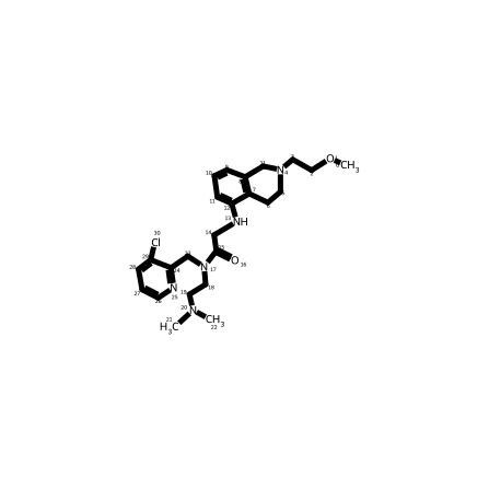 COCCN1CCc2c(cccc2NCC(=O)N(CCN(C)C)Cc2ncccc2Cl)C1